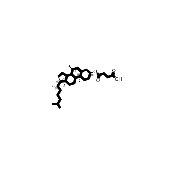 CC(C)CCC[C@H](C)[C@@H]1CCC2C3C(CC[C@]21C)[C@]1(C)CC[C@@H](OC(=O)CCC(=O)O)CC1=C[C@@H]3C